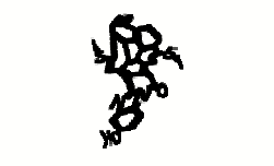 O=c1c2c3cc(SI)c4ccc5ccc6c(SI)cc(c7c6c5c4c37)c2c2nc3cc(O)ccc3n12